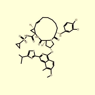 COc1ccc2c(O[C@@H]3C[C@H]4C(=O)N[C@]5(C(=O)NS(=O)(=O)C6CC6)C[C@H]5/C=C\CCCCC[C@H](Nc5ccc(Cl)c(Cl)c5)C(=O)N4C3)nc(-c3nc(C(C)C)cs3)cc2c1C